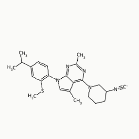 [C-]#[N+]C1CCCN(c2nc(C)nc3c2c(C)cn3-c2ccc(C(C)C)cc2SC)C1